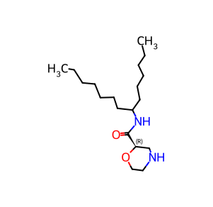 CCCCCCCC(CCCCCC)NC(=O)[C@H]1CNCCO1